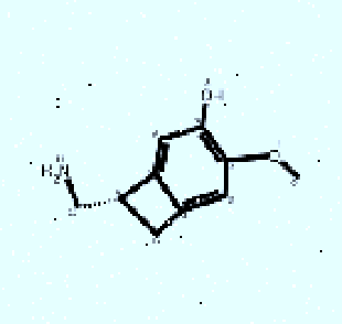 COc1cc2c(cc1O)[C@@H](CN)C2